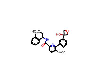 COc1ccc(C(=O)NC(CC(=O)O)c2ccccc2C)nc1-c1cccc(C2(O)COC2)c1